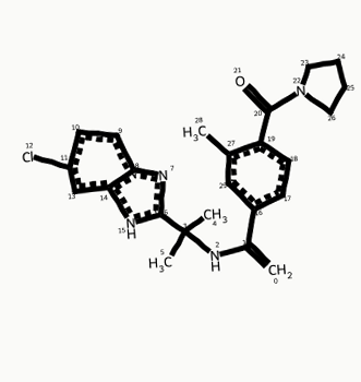 C=C(NC(C)(C)c1nc2ccc(Cl)cc2[nH]1)c1ccc(C(=O)N2CCCC2)c(C)c1